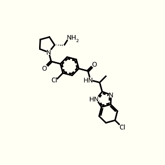 CC(NC(=O)c1ccc(C(=O)N2CCC[C@@H]2CN)c(Cl)c1)c1nc2c([nH]1)=CCC(Cl)C=2